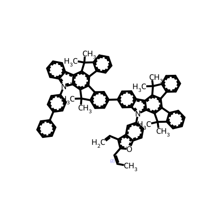 C=Cc1c(/C=C\C)oc2ccc(-n3c4cc(-c5ccc6c(c5)-c5c7c(c8c9ccccc9n(-c9ccc(-c%10ccccc%10)cc9)c8c5C6(C)C)C(C)(C)c5ccccc5-7)ccc4c4c5c(c6c(c43)C(C)(C)c3ccccc3-6)-c3ccccc3C5(C)C)cc12